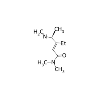 C=N[C@@H](C)/C(=C/C(=O)N(C)C)CC